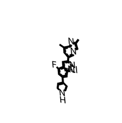 Cc1cn2cc(-c3cc4c(F)cc(C5=CCNCC5)cc4nn3)cc(C)c2n1.Cl